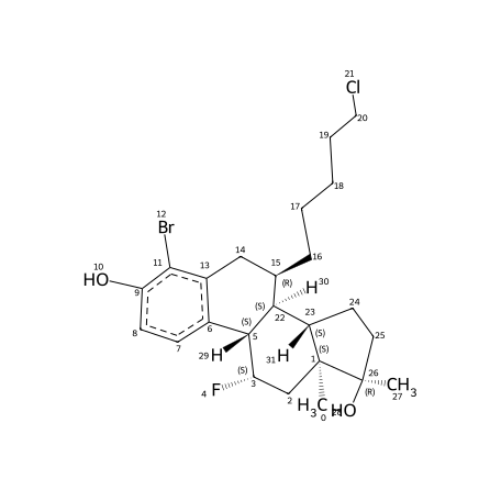 C[C@]12C[C@H](F)[C@@H]3c4ccc(O)c(Br)c4C[C@@H](CCCCCCl)[C@H]3[C@@H]1CC[C@@]2(C)O